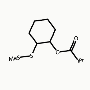 CSSC1CCCCC1OC(=O)C(C)C